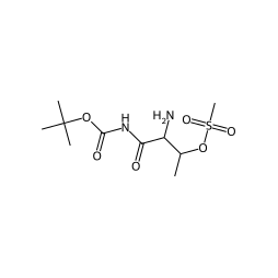 CC(OS(C)(=O)=O)C(N)C(=O)NC(=O)OC(C)(C)C